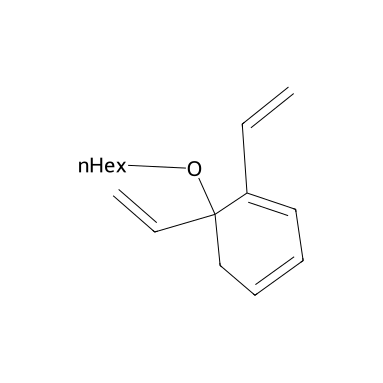 C=CC1=CC=CCC1(C=C)OCCCCCC